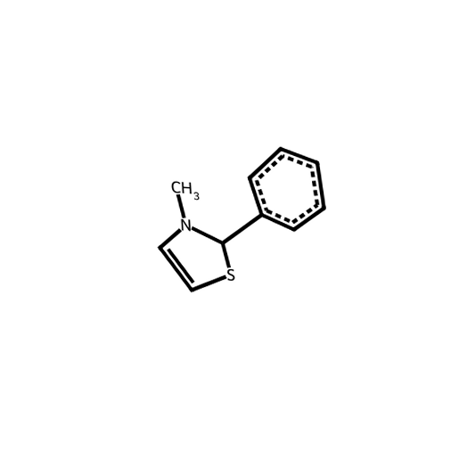 CN1C=CSC1c1ccccc1